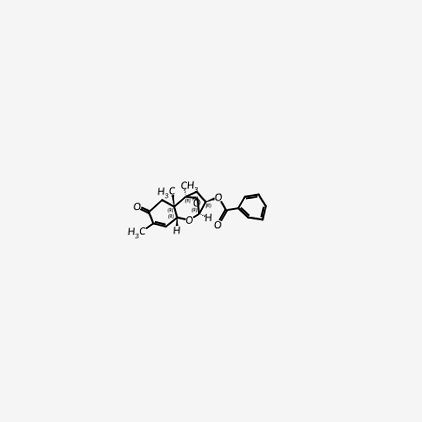 CC1=C[C@H]2O[C@@H]3[C@H](OC(=O)c4ccccc4)C[C@](C)([C@@]2(C)CC1=O)[C@]31CO1